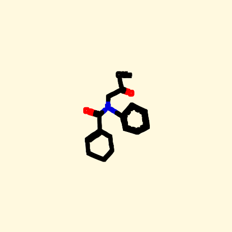 COC(=O)CN(C(=O)C1=CCCCC1)c1ccccc1